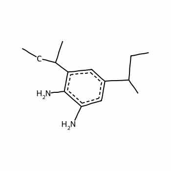 CCC(C)c1cc(N)c(N)c(C(C)CC)c1